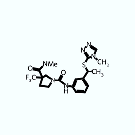 CNC(=O)C1(C(F)(F)F)CCN(C(=O)Nc2cccc([C@H](C)Sc3nncn3C)c2)C1